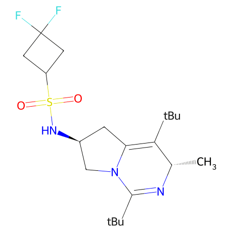 C[C@@H]1N=C(C(C)(C)C)N2C[C@@H](NS(=O)(=O)C3CC(F)(F)C3)CC2=C1C(C)(C)C